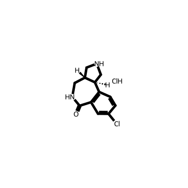 Cl.O=C1NC[C@@H]2CNC[C@H]2c2ccc(Cl)cc21